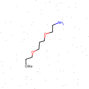 COCCOCCCOCCN